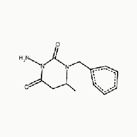 CC1CC(=O)N(N)C(=O)N1Cc1ccccc1